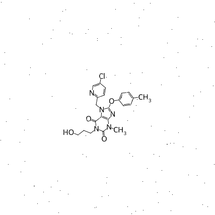 Cc1ccc(Oc2nc3c(c(=O)n(CCCO)c(=O)n3C)n2Cc2ccc(Cl)cn2)cc1